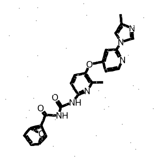 Cc1cn(-c2cc(Oc3ccc(NC(=O)NC(=O)c4cc5ccc4o5)nc3C)ccn2)cn1